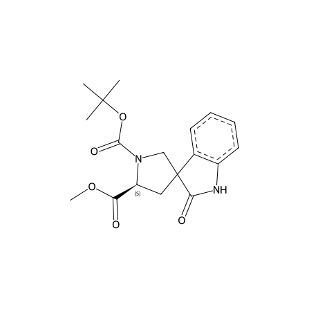 COC(=O)[C@@H]1CC2(CN1C(=O)OC(C)(C)C)C(=O)Nc1ccccc12